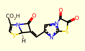 O=C(O)C1=CS[C@@H]2C(=Cc3cn4c(n3)SC(=O)C4=O)C(=O)N12